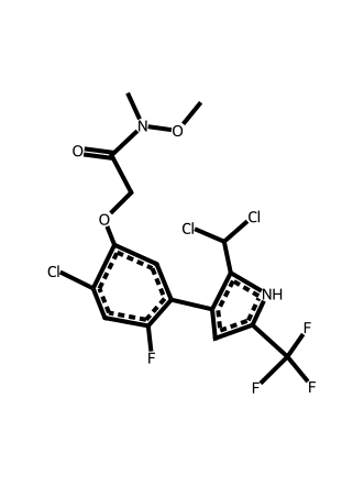 CON(C)C(=O)COc1cc(-c2cc(C(F)(F)F)[nH]c2C(Cl)Cl)c(F)cc1Cl